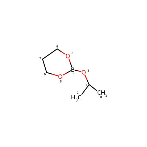 CC(C)OB1OCCCO1